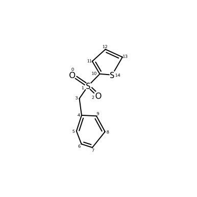 O=S(=O)(Cc1ccccc1)c1cccs1